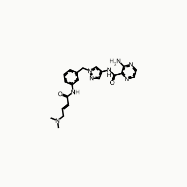 CN(C)C/C=C/C(=O)Nc1cccc(Cn2cc(NC(=O)c3nccnc3N)cn2)c1